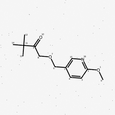 COc1ccc(COCC(=O)C(C)(C)C)cn1